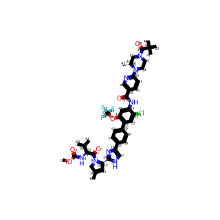 COC(=O)N[C@H](C(=O)N1CC(C)=C[C@H]1c1nc(-c2ccc(-c3cc(Cl)c(NC(=O)c4ccc(N5CCN(C(=O)C(C)(C)C)C[C@H]5C)nc4)cc3OC(F)(F)F)cc2)c[nH]1)C(C)C